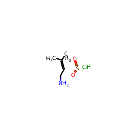 CC(C)=CCN.Cl.O=S=O